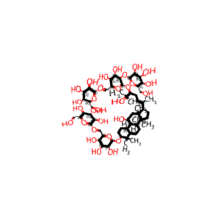 C[C@H](CCC(O[C@@H]1O[C@H](CO[C@@H]2O[C@H](CO)[C@@H](O)[C@H](O)C2O)[C@@H](O)[C@H](O)[C@H]1O[C@H]1O[C@@H](CO)[C@H](O)[C@@H](O)[C@@H]1O)C(C)(C)O)[C@H]1CC[C@@]2(C)[C@@H]3CC=C4[C@@H](CC[C@H](O[C@@H]5O[C@H](CO[C@@H]6O[C@H](CO)C(O)[C@H](O)[C@H]6O)[C@@H](O)[C@H](O)[C@H]5O)C4(C)C)[C@]3(C)[C@H](O)CC12C